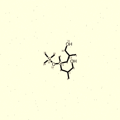 CC(CO)C[Si](C)(CC(C)CO)O[Si](C)(C)C